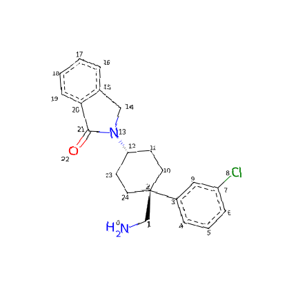 NC[C@]1(c2cccc(Cl)c2)CC[C@@H](N2Cc3ccccc3C2=O)CC1